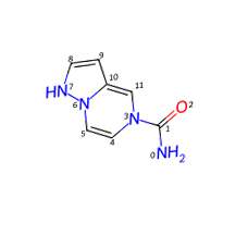 NC(=O)N1C=CN2NC=CC2=C1